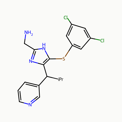 CC(C)C(c1cccnc1)c1nc(CN)[nH]c1Sc1cc(Cl)cc(Cl)c1